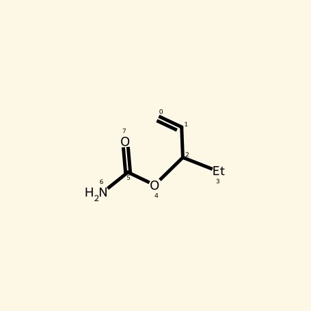 C=CC(CC)OC(N)=O